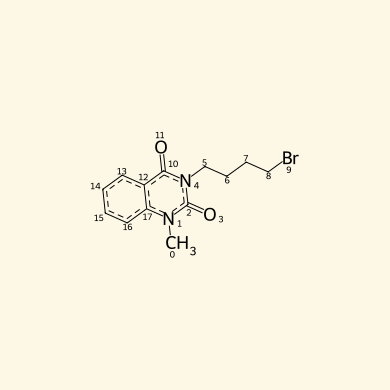 Cn1c(=O)n(CCCCBr)c(=O)c2ccccc21